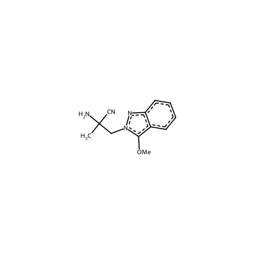 COc1c2ccccc2nn1CC(C)(N)C#N